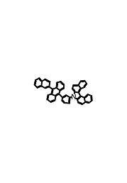 c1cc(-c2c3ccccc3c(-c3ccc4ccccc4c3)c3ccccc23)cc(-n2c3ccc4ccccc4c3c3c4ccccc4ccc32)c1